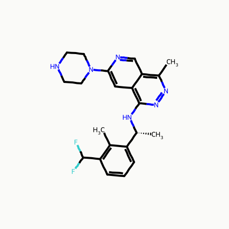 Cc1c(C(F)F)cccc1[C@@H](C)Nc1nnc(C)c2cnc(N3CCNCC3)cc12